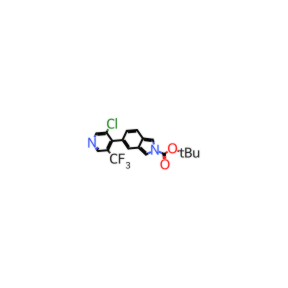 CC(C)(C)OC(=O)n1cc2ccc(-c3c(Cl)cncc3C(F)(F)F)cc2c1